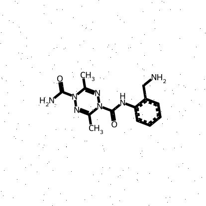 CC1=NN(C(=O)Nc2ccccc2CN)C(C)=NN1C(N)=O